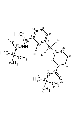 C[C@@H](N[S@+]([O-])C(C)(C)C)c1cccc(C(F)(F)[C@H]2CN(C(=O)OC(C)(C)C)CCO2)c1F